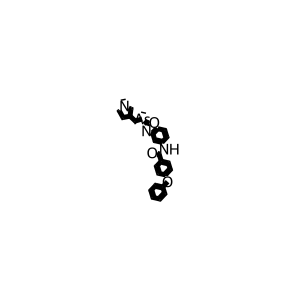 CN1CCC(C[As](C)c2nc3cc(NC(=O)c4ccc(Oc5ccccc5)cc4)ccc3o2)C1